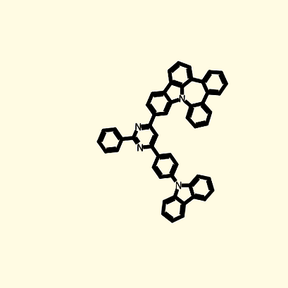 c1ccc(-c2nc(-c3ccc(-n4c5ccccc5c5ccccc54)cc3)cc(-c3ccc4c5cccc6c5n(c4c3)-c3ccccc3-c3ccccc3-6)n2)cc1